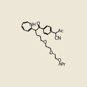 CCCOCCOCCOCCCC(C(=O)c1ccc(C(C#N)C(C)=O)cc1)C1=CC=CC=CN1